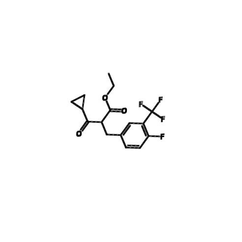 CCOC(=O)C(Cc1ccc(F)c(C(F)(F)F)c1)C(=O)C1CC1